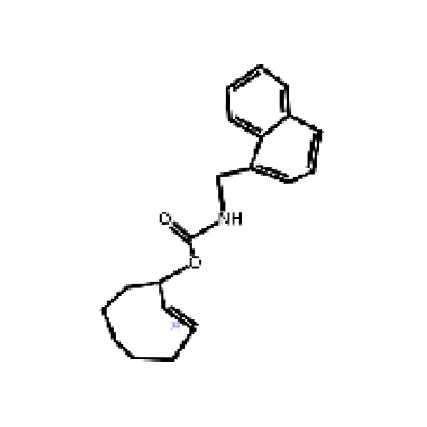 O=C(NCc1cccc2ccccc12)OC1/C=C/CCCCC1